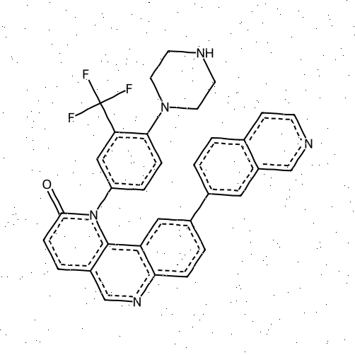 O=c1ccc2cnc3ccc(-c4ccc5ccncc5c4)cc3c2n1-c1ccc(N2CCNCC2)c(C(F)(F)F)c1